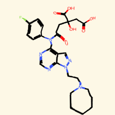 O=C(O)CC(O)(CC(=O)N(c1ccc(F)cc1)c1ncnc2c1cnn2CCN1CCCCCC1)C(=O)O